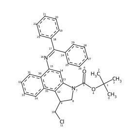 CC(C)(C)OC(=O)N1CC(CCl)c2c1cc(N=C(c1ccccc1)c1ccccc1)c1ccccc21